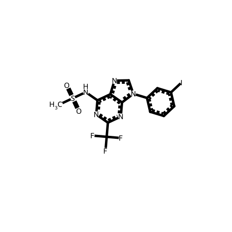 CS(=O)(=O)Nc1nc(C(F)(F)F)nc2c1ncn2-c1cccc(I)c1